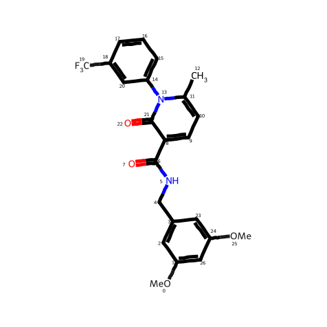 COc1cc(CNC(=O)c2ccc(C)n(-c3cccc(C(F)(F)F)c3)c2=O)cc(OC)c1